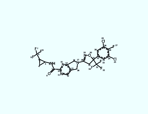 O=C(NC1CC1C(F)(F)F)c1ncc2c(n1)CN(C1=NOC(c3cc(Cl)c(F)c(Cl)c3)(C(F)(F)F)C1)C2